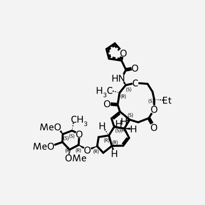 CC[C@H]1CCC[C@H](NC(=O)c2ccco2)[C@@H](C)C(=O)C2=C[C@@H]3[C@@H](C=C[C@@H]4C[C@@H](O[C@@H]5O[C@@H](C)[C@H](OC)C(OC)[C@H]5OC)C[C@@H]34)[C@@H]2CC(=O)O1